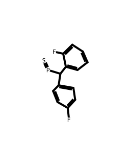 Fc1ccc(C(P=S)c2ccccc2F)cc1